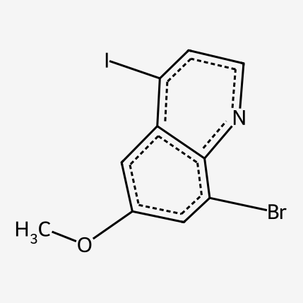 COc1cc(Br)c2nccc(I)c2c1